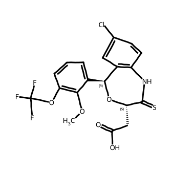 COc1c(OC(F)(F)F)cccc1[C@@H]1O[C@@H](CC(=O)O)C(=S)Nc2ccc(Cl)cc21